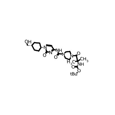 CC(C)(C)OC(=O)NC(C)(C)C(=O)N1CCN(C(=O)Nc2ccn([C@H]3CC[C@@H](CO)CC3)c(=O)n2)CC1